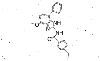 CCc1ccc(C(=O)Nc2nc3c(OC)ccc(-c4ccccc4)c3[nH]2)cc1